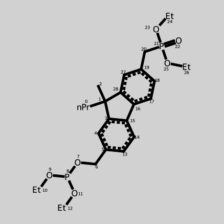 CCCC1(C)c2cc(COP(OCC)OCC)ccc2-c2ccc(CP(=O)(OCC)OCC)cc21